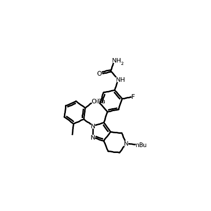 CCCCN1CCc2nn(-c3c(C)cccc3OCC(C)C)c(-c3ccc(NC(N)=O)c(F)c3)c2C1